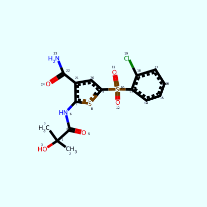 CC(C)(O)C(=O)Nc1sc(S(=O)(=O)c2ccccc2Cl)cc1C(N)=O